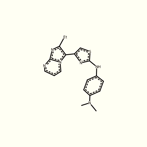 CCc1nc2ncccn2c1-c1csc(Nc2ccc(N(C)C)cc2)n1